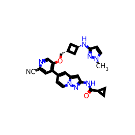 Cn1ccc(N[C@H]2C[C@@H](COc3cnc(C#N)cc3-c3ccn4nc(NC(=O)C5CC5)cc4c3)C2)n1